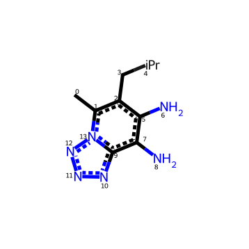 Cc1c(CC(C)C)c(N)c(N)c2nnnn12